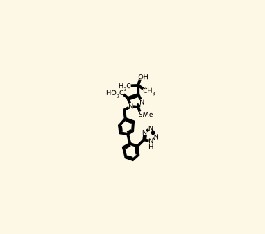 CSc1nc(C(C)(C)O)c(C(=O)O)n1Cc1ccc(-c2ccccc2-c2nnn[nH]2)cc1